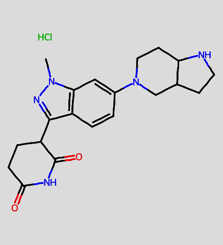 Cl.Cn1nc(C2CCC(=O)NC2=O)c2ccc(N3CCC4NCCC4C3)cc21